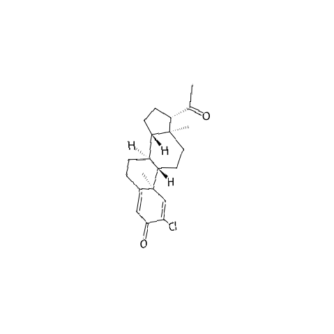 CC(=O)[C@H]1CC[C@H]2[C@@H]3CCC4=CC(=O)C(Cl)=C[C@]4(C)[C@H]3CC[C@]12C